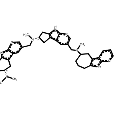 CN(Cc1cnc2[nH]c3c(c2c1)C[C@H](N(C)Cc1cnc2[nH]c4c(c2c1)C[C@H](N(C)C)CC4)C3)C1CCCc2[nH]c3ncccc3c2C1